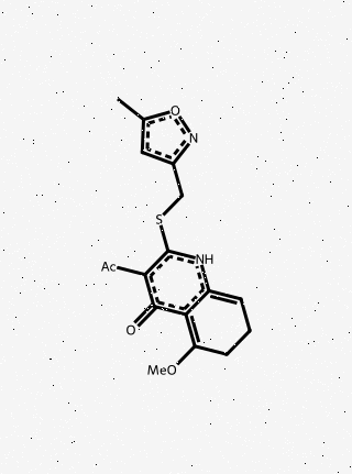 COC1=c2c([nH]c(SCc3cc(C)on3)c(C(C)=O)c2=O)=CCC1